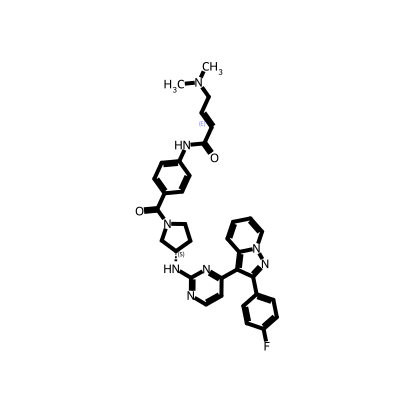 CN(C)C/C=C/C(=O)Nc1ccc(C(=O)N2CC[C@H](Nc3nccc(-c4c(-c5ccc(F)cc5)nn5ccccc45)n3)C2)cc1